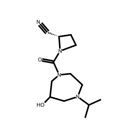 CC(C)N1CCN(C(=O)N2CC[C@H]2C#N)CC(O)C1